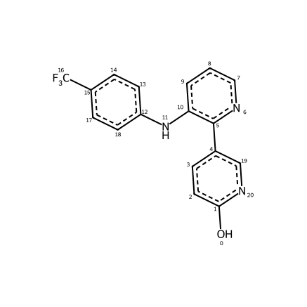 Oc1ccc(-c2ncccc2Nc2ccc(C(F)(F)F)cc2)cn1